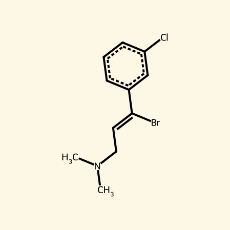 CN(C)CC=C(Br)c1cccc(Cl)c1